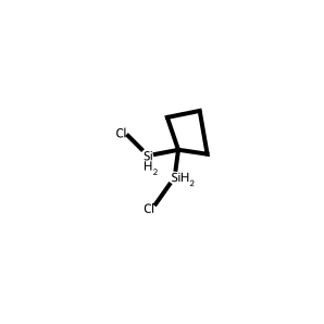 Cl[SiH2]C1([SiH2]Cl)CCC1